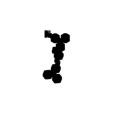 CC1(C)c2cc(/C=C/c3ccc(N(c4ccccc4)c4ccccc4)cc3)ccc2-c2ccc(N(c3ccccc3)c3ccc(C#N)cc3)cc21